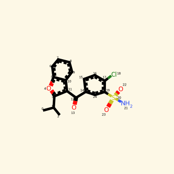 CC(C)c1oc2ccccc2c1C(=O)c1ccc(Cl)c(S(N)(=O)=O)c1